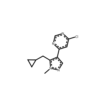 Cn1ncc(-c2cc(Cl)ncn2)c1CC1CC1